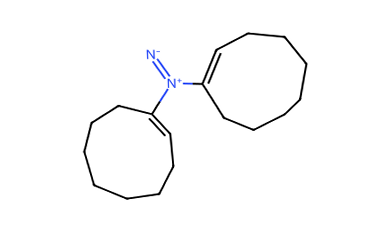 [N-]=[N+](C1=CCCCCCCC1)C1=CCCCCCCC1